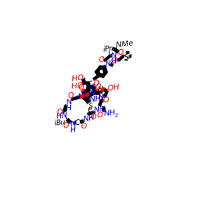 CC[C@H](C)[C@@H]1NC(=O)CNC(=O)C2Cc3c([nH]c4cc(OCc5ccc(N(COCC[Si](C)(C)C)C(=O)[C@H](C)NC(=O)[C@@H](NC)C(C)C)cc5)ccc34)SCC(NC(=O)CNC1=O)C(=O)N[C@@H](CC(N)=O)C(=O)N1CC(O)C[C@H]1C(=O)N[C@@H]([C@@H](C)[C@@H](O)CO)C(=O)N2